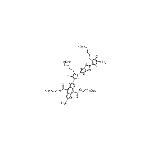 CCCCCCCCCCCCCCc1c(-c2nc3sc(-c4sc(-c5cc6c(C(=O)OCCCCCCCCCCCC)c7sc(C)cc7c(C(=O)OCCCCCCCCCCCC)c6s5)c(Cl)c4CCCCCCCCCCCCCC)nc3s2)sc(C)c1Cl